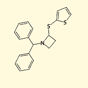 c1ccc(C(c2ccccc2)N2CCC2Sc2cccs2)cc1